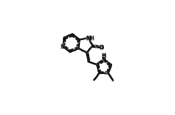 Cc1c[nH]c(C=C2C(=O)Nc3ccncc32)c1C